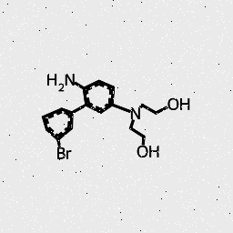 Nc1ccc(N(CCO)CCO)cc1-c1cccc(Br)c1